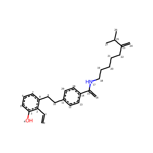 C=Cc1c(O)cccc1CCc1ccc(C(=C)NCCCCCC(=C)C(C)C)cc1